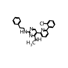 CNc1nc(NCCc2ccccc2)ncc1-c1cccc(-c2ccccc2Cl)n1